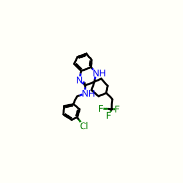 FC(F)(F)CC1CCC2(CC1)Nc1ccccc1N=C2NCc1cccc(Cl)c1